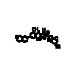 CCc1cc(-c2ccc3c(c2)COCC3)cc(C)c1CC(=O)NS(=O)(=O)c1cc2n(n1)C[C@H](CC)CO2